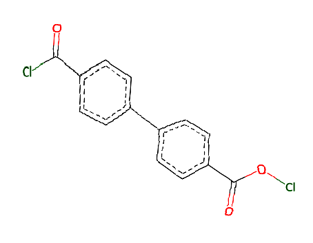 O=C(Cl)c1ccc(-c2ccc(C(=O)OCl)cc2)cc1